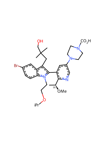 CO[C@@H](C)c1ncc(N2CCN(C(=O)O)CC2)cc1-c1c(CC(C)(C)CO)c2cc(Br)ccc2n1CCOC(C)C